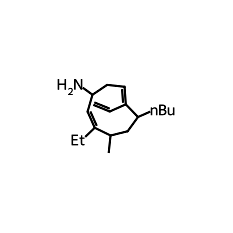 C=C/C1=C\CC(N)/C=C(/CC)C(C)CC1CCCC